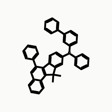 CC1(C)c2cc(N(c3ccccc3)c3cccc(-c4ccccc4)c3)ccc2-c2c(-c3ccccc3)cc3ccccc3c21